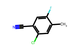 Cc1cc(Cl)c(C#N)cc1F